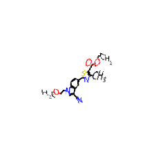 CCOC(=O)c1sc(-c2ccc3c(c2)c(C#N)cn3CCOC)nc1C